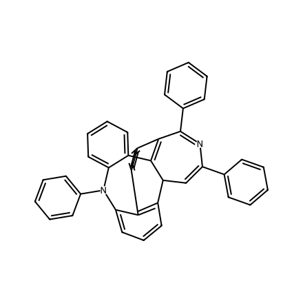 C1=C(c2ccccc2)N=C(c2ccccc2)C2=C3c4ccccc4N(c4ccccc4)c4cccc(c4-c4ccccc42)C13